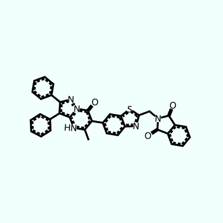 Cc1[nH]c2c(-c3ccccc3)c(-c3ccccc3)nn2c(=O)c1-c1ccc2nc(CN3C(=O)c4ccccc4C3=O)sc2c1